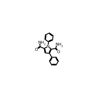 NC(=O)c1cc(-c2ccccc2)c(C(N)=O)n1-c1ccccc1